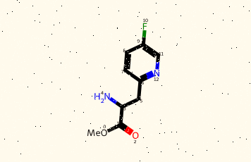 COC(=O)C(N)Cc1ccc(F)cn1